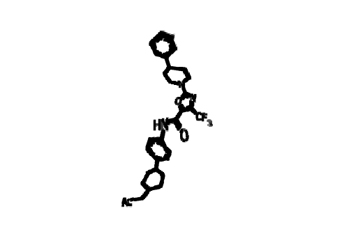 CC(=O)CC1CCC(c2ccc(NC(=O)c3oc(N4CCC(c5ccccc5)CC4)nc3C(F)(F)F)cc2)CC1